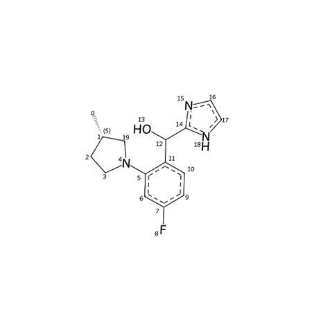 C[C@H]1CCN(c2cc(F)ccc2C(O)c2ncc[nH]2)C1